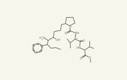 CCCC(c1ccccc1)C(N)C(O)CCCC1CCC[C@H]1C(=O)N[C@@H](C(=O)NC(C(=O)OC)C(C)C)C(C)C